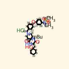 CCCCN1C(=O)[C@@H](CC2(O)CCCCC2)NC(=O)C12CCN(Cc1ccc(Oc3ccc(N(C)S(C)(=O)=O)cc3)cc1)CC2.Cl